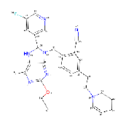 CCOc1nc(C)c2c(n1)N(Cc1ccc(CCN3C=CCCC3)cc1C#N)C(c1cncc(F)c1)N2